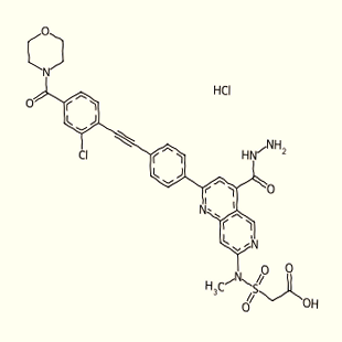 CN(c1cc2nc(-c3ccc(C#Cc4ccc(C(=O)N5CCOCC5)cc4Cl)cc3)cc(C(=O)NN)c2cn1)S(=O)(=O)CC(=O)O.Cl